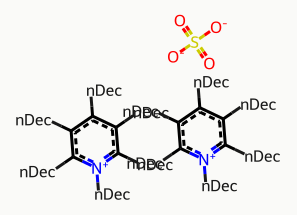 CCCCCCCCCCc1c(CCCCCCCCCC)c(CCCCCCCCCC)[n+](CCCCCCCCCC)c(CCCCCCCCCC)c1CCCCCCCCCC.CCCCCCCCCCc1c(CCCCCCCCCC)c(CCCCCCCCCC)[n+](CCCCCCCCCC)c(CCCCCCCCCC)c1CCCCCCCCCC.O=S(=O)([O-])[O-]